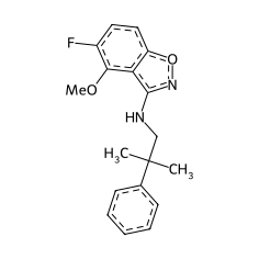 COc1c(F)ccc2onc(NCC(C)(C)c3ccccc3)c12